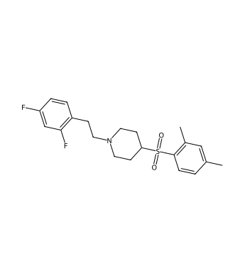 Cc1ccc(S(=O)(=O)C2CCN(CCc3ccc(F)cc3F)CC2)c(C)c1